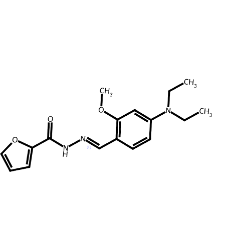 CCN(CC)c1ccc(/C=N/NC(=O)c2ccco2)c(OC)c1